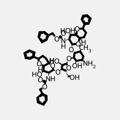 C[C@H]1C[C@@H](N)[C@H](O)[C@@H](O[C@@H]2O[C@H](CO)[C@@H](O[C@H]3O[C@H]4CCC(c5ccccc5)O[C@H]4[C@H](O)[C@H]3NC(=O)OCc3ccccc3)[C@H]2O)[C@@H]1O[C@H]1O[C@@H]2CCC(c3ccccc3)O[C@H]2[C@@H](O)[C@H]1NC(=O)OCc1ccccc1